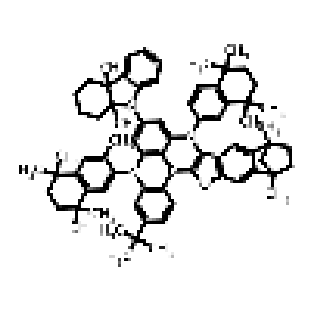 Cc1cc2c(cc1N1c3cc(C(C)(C)C)ccc3B3c4oc5cc6c(cc5c4N(c4ccc5c(c4)C(C)(C)CCC5(C)C)c4cc(N5c7ccccc7C7(C)CCCCC57C)cc1c43)C1(C)CCC6(C)C1)C(C)(C)CCC2(C)C